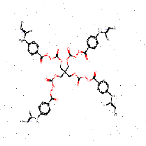 CC/C=C(\CC)[SiH2]c1ccc(C(=O)OOC(=O)OCC(COC(=O)OOC(=O)c2ccc([SiH2]/C(=C/CC)CC)cc2)(COC(=O)OOC(=O)c2ccc([SiH2]/C(=C/CC)CC)cc2)COC(=O)OOC(=O)c2ccc([SiH2]/C(=C/CC)CC)cc2)cc1